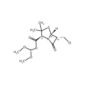 COP(OC)OC(=O)[C@@H]1N2C(=O)[C@@H](CCl)[C@H]2SC1(C)C